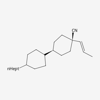 CC=C[C@]1(C#N)CC[C@@H](C2CCC(CCCCCCC)CC2)CC1